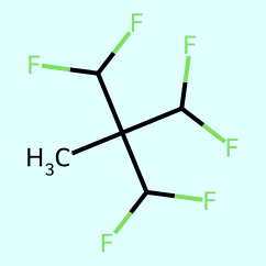 CC(C(F)F)(C(F)F)C(F)F